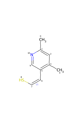 Cc1cc(C)c(/C=C\S)cn1